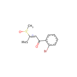 CS/C(=C\C(=O)c1ccccc1Br)[S+](C)[O-]